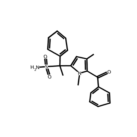 Cc1cc(C(C)(c2ccccc2)S(N)(=O)=O)n(C)c1C(=O)c1ccccc1